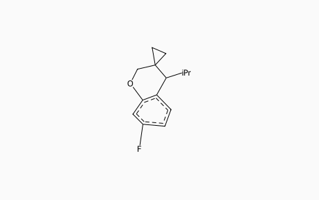 CC(C)C1c2ccc(F)cc2OCC12CC2